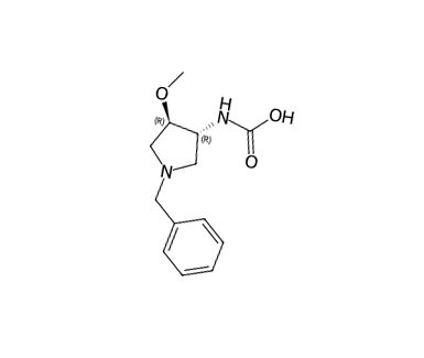 CO[C@@H]1CN(Cc2ccccc2)C[C@H]1NC(=O)O